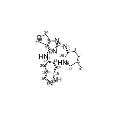 CC1CC/C(=N/c2nc3c(c(Nc4ccc5[nH]ncc5c4)n2)COC3)CNC1